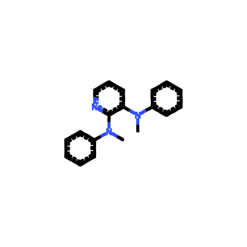 CN(c1ccccc1)c1cccnc1N(C)c1ccccc1